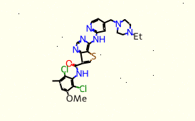 CCN1CCN(Cc2ccnc(Nc3ncnc4c(C(=O)Nc5c(Cl)c(C)cc(OC)c5Cl)csc34)c2)CC1